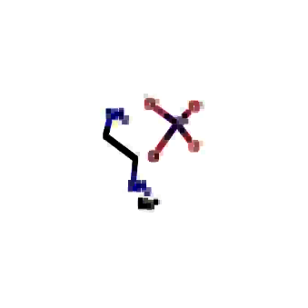 NCCN.[Na+].[O-][I+3]([O-])([O-])[O-]